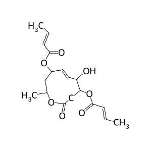 CC=CC(=O)OC1/C=C/C(O)C(OC(=O)C=CC)CC(=O)OC(C)C1